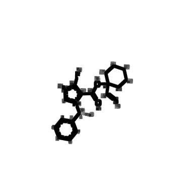 C[C@H](c1ccccc1)n1cnc(F)c1C(=O)OC1(C=S)CCCCC1